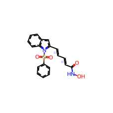 O=C(/C=C/C=C/c1cc2ccccc2n1S(=O)(=O)c1ccccc1)NO